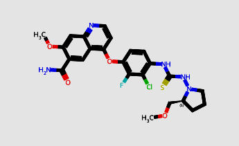 COC[C@@H]1CCCN1NC(=S)Nc1ccc(Oc2ccnc3cc(OC)c(C(N)=O)cc23)c(F)c1Cl